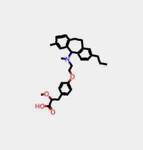 CCCc1ccc2c(c1)CCc1ccc(C)cc1C2N(C)CCOc1ccc(CC(OC)C(=O)O)cc1